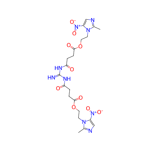 Cc1ncc([N+](=O)[O-])n1CCOC(=O)CCC(=O)NC(=N)NC(=O)CCC(=O)OCCn1c([N+](=O)[O-])cnc1C